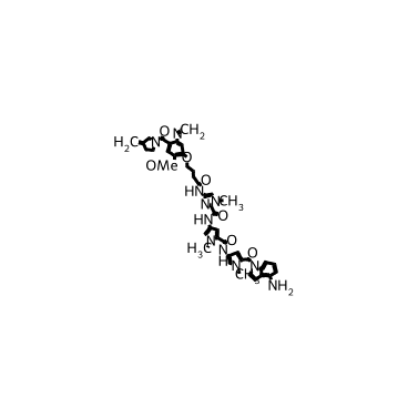 C=Nc1cc(OCCCC(=O)Nc2cn(C)c(C(=O)Nc3cc(C(=O)Nc4cc(C(=O)n5ccc6c(N)cccc65)n(C)c4)n(C)c3)n2)c(OC)cc1C(=O)N1CCC(=C)C1